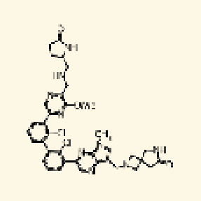 COc1nc(-c2cccc(-c3cccc(-c4cnc5c(CN6CC7(CNC(=O)C7)C6)cn(C)c5n4)c3Cl)c2Cl)cnc1CNC[C@H]1CCC(=O)N1